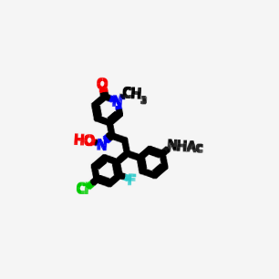 CC(=O)Nc1cccc(C(C/C(=N/O)c2ccc(=O)n(C)c2)c2ccc(Cl)cc2F)c1